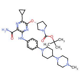 CN1CCN(C2CCN(c3ccc(Nc4nc(O[C@@H]5CCN(C(=O)OC(C)(C)C)C5)c(C5CC5)nc4C(N)=O)cc3)CC2)CC1